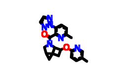 Cc1ccc(OC2CC34CC3CN(C(=O)c3nc(C)ccc3-n3nccn3)C24)nc1